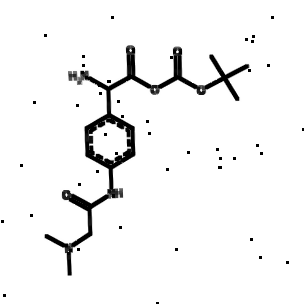 CN(C)CC(=O)Nc1ccc(C(N)C(=O)OC(=O)OC(C)(C)C)cc1